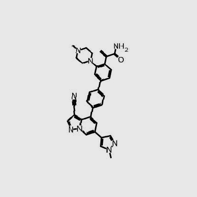 C=C(C(N)=O)c1ccc(-c2ccc(-c3cc(-c4cnn(C)c4)cn4ncc(C#N)c34)cc2)cc1N1CCN(C)CC1